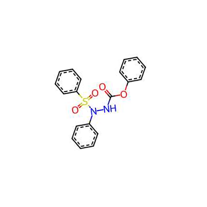 O=C(NN(c1ccccc1)S(=O)(=O)c1ccccc1)Oc1ccccc1